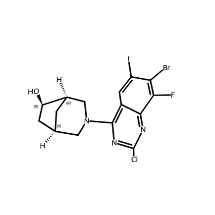 O[C@@H]1C[C@H]2C[C@@H]1CN(c1nc(Cl)nc3c(F)c(Br)c(I)cc13)C2